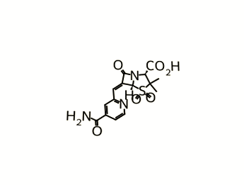 CC1(C)[C@H](C(=O)O)N2C(=O)/C(=C/c3cc(C(N)=O)ccn3)[C@H]2S1(=O)=O